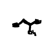 CCC(C)CC(C)C(C)CC